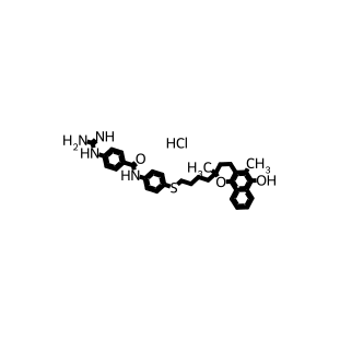 Cc1c2c(c3ccccc3c1O)OC(C)(CCCCSc1ccc(NC(=O)c3ccc(NC(=N)N)cc3)cc1)CC2.Cl